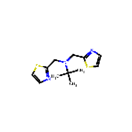 CC(C)(C)N(Cc1nccs1)Cc1nccs1